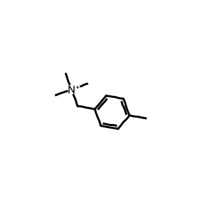 Cc1ccc(C[N+](C)(C)C)cc1